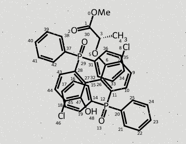 COC(=O)[C@H](C)Oc1c(Cl)ccc(P(=O)(c2ccccc2)c2ccccc2)c1-c1c(P(=O)(c2ccccc2)c2ccccc2)ccc(Cl)c1O